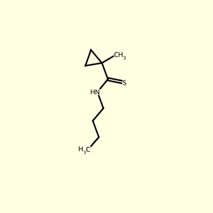 CCCCNC(=S)C1(C)CC1